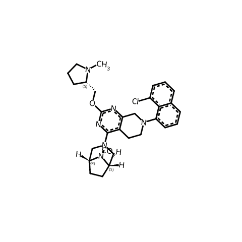 CN1CCC[C@H]1COc1nc2c(c(N3C[C@H]4CC[C@@H](C3)N4C(=O)O)n1)CCN(c1cccc3cccc(Cl)c13)C2